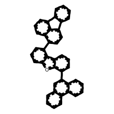 c1ccc2c(c1)-c1cccc3c(-c4cccc5oc6c(-c7cc8ccccc8c8ccccc78)cccc6c45)ccc-2c13